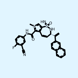 C=C(c1ccc2ccccc2c1)[C@@H]1C=Cc2c(cn(C)c2C(=O)Nc2ccc(F)c(C#N)c2)S(=N)(=O)N1